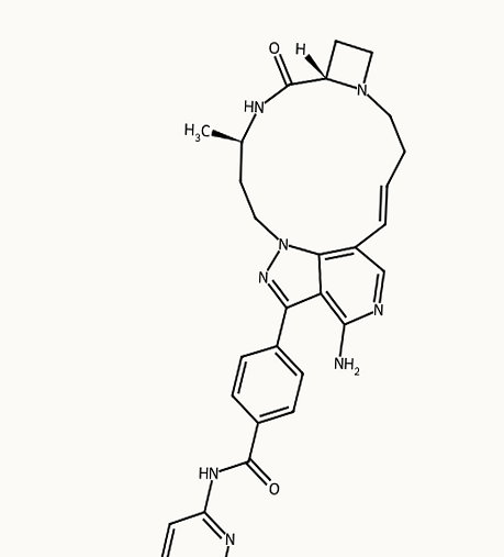 C[C@@H]1CCn2nc(-c3ccc(C(=O)Nc4cc(C(F)(F)F)ccn4)cc3)c3c(N)ncc(c32)/C=C/CCN2CC[C@H]2C(=O)N1